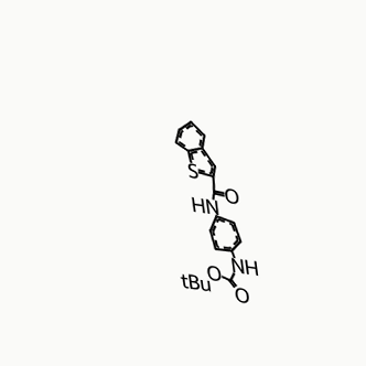 CC(C)(C)OC(=O)Nc1ccc(NC(=O)c2cc3ccccc3s2)cc1